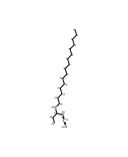 CCCCCCCCCCCCCCCCSC(CC)N=C=S